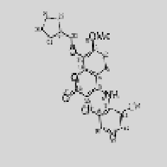 COc1ccc2c(Nc3c(Cl)cncc3Cl)cc(=O)oc2c1OCC1CCCC1